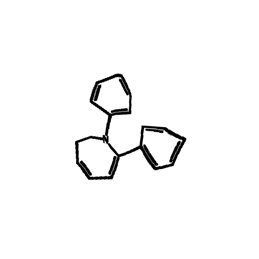 C1=CCN(c2ccccc2)C(c2ccccc2)=C1